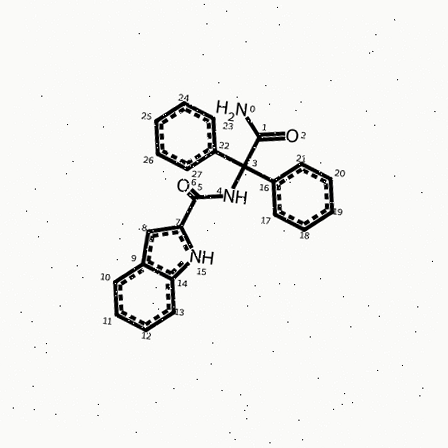 NC(=O)C(NC(=O)c1cc2ccccc2[nH]1)(c1ccccc1)c1ccccc1